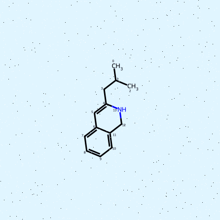 CC(C)CC1=Cc2ccccc2CN1